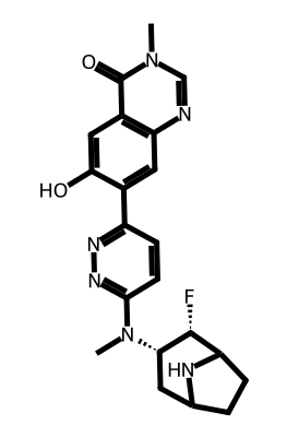 CN(c1ccc(-c2cc3ncn(C)c(=O)c3cc2O)nn1)[C@H]1CC2CCC(N2)[C@H]1F